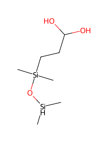 C[SiH](C)O[Si](C)(C)CCC(O)O